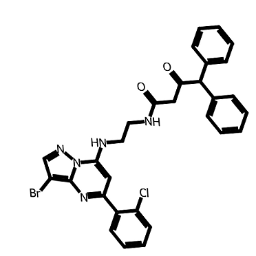 O=C(CC(=O)C(c1ccccc1)c1ccccc1)NCCNc1cc(-c2ccccc2Cl)nc2c(Br)cnn12